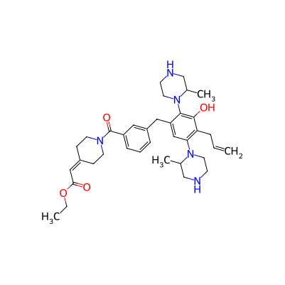 C=CCc1c(N2CCNCC2C)cc(Cc2cccc(C(=O)N3CCC(=CC(=O)OCC)CC3)c2)c(N2CCNCC2C)c1O